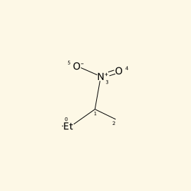 C[CH]C(C)[N+](=O)[O-]